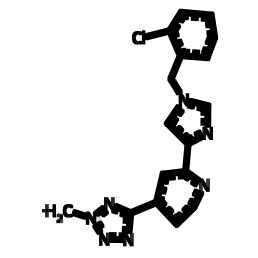 [CH2]n1nnc(-c2ccnc(-c3cn(Cc4ccccc4Cl)cn3)c2)n1